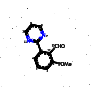 COc1cccc(-c2ncccn2)c1C=O